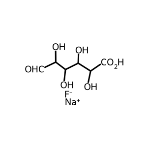 O=CC(O)C(O)C(O)C(O)C(=O)O.[F-].[Na+]